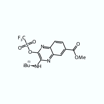 CC[C@H](C)Nc1nc2cc(C(=O)OC)ccc2nc1OS(=O)(=O)C(F)(F)F